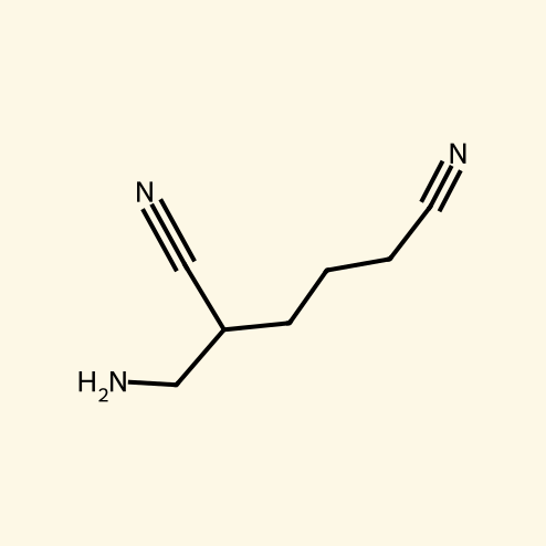 N#CCCCC(C#N)CN